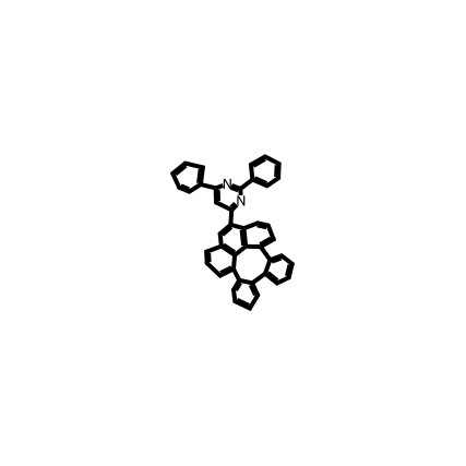 c1ccc(-c2cc(-c3cc4cccc5c6ccccc6c6ccccc6c6cccc3c6c45)nc(-c3ccccc3)n2)cc1